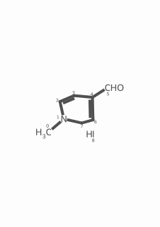 CN1C=CC(C=O)=CC1.I